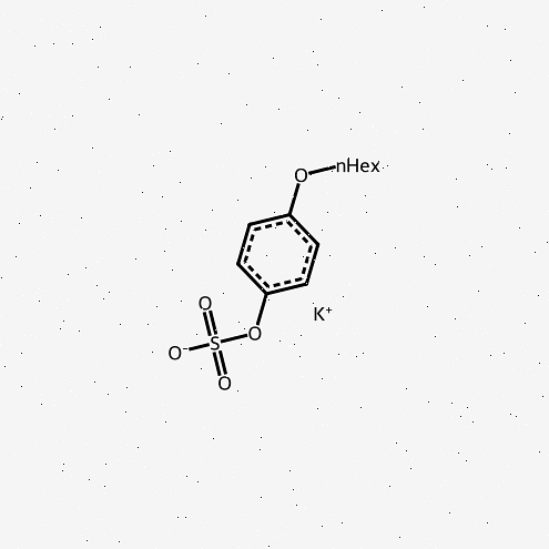 CCCCCCOc1ccc(OS(=O)(=O)[O-])cc1.[K+]